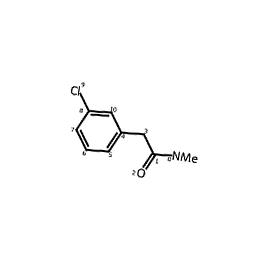 CNC(=O)Cc1cccc(Cl)c1